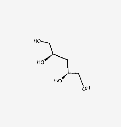 OC[C@@H](O)C[C@@H](O)CO